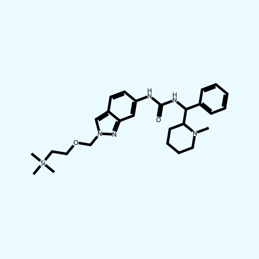 CN1CCCCC1C(NC(=O)Nc1ccc2cn(COCC[Si](C)(C)C)nc2c1)c1ccccc1